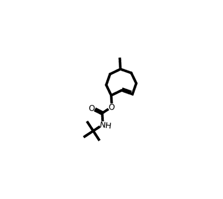 CC1CC/C=C/C(OC(=O)NC(C)(C)C)CC1